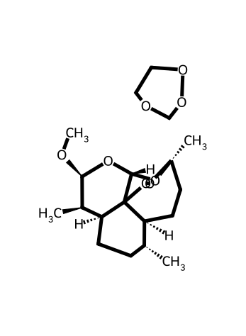 C1COOCO1.CO[C@H]1O[C@@H]2O[C@]3(C)CC[C@H]4[C@H](C)CC[C@@H]([C@H]1C)C24OO3